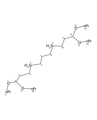 CCCOC(CC[SiH2]CCC[SiH2]CCC(OCCC)OCCC)OCCC